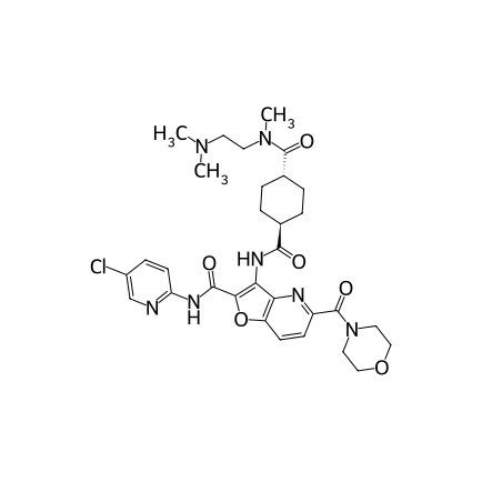 CN(C)CCN(C)C(=O)[C@H]1CC[C@H](C(=O)Nc2c(C(=O)Nc3ccc(Cl)cn3)oc3ccc(C(=O)N4CCOCC4)nc23)CC1